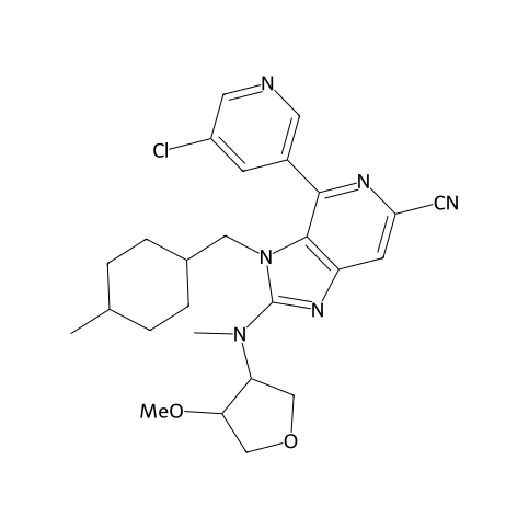 COC1COCC1N(C)c1nc2cc(C#N)nc(-c3cncc(Cl)c3)c2n1CC1CCC(C)CC1